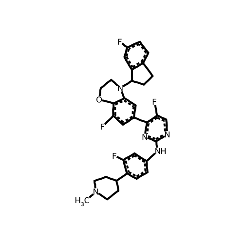 CN1CCC(c2ccc(Nc3ncc(F)c(-c4cc(F)c5c(c4)N(C4CCc6ccc(F)cc64)CCO5)n3)cc2F)CC1